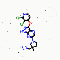 CC1(CN)CCN(c2cnc3c(Oc4ccnc(Cl)c4Cl)n[nH]c3n2)C1